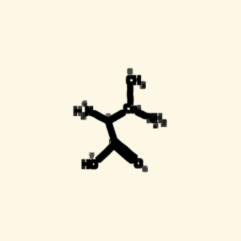 [CH3][Co]([NH2])[CH](N)C(=O)O